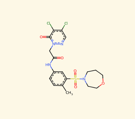 Cc1ccc(NC(=O)Cn2ncc(Cl)c(Cl)c2=O)cc1S(=O)(=O)N1CCCOCC1